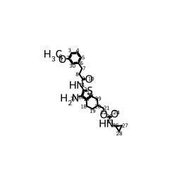 COc1cccc(CCC(=O)Nc2sc3c(c2N)CCC(COC(=O)NC2CC2)C3)c1